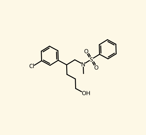 CN(CC(CCCO)c1cccc(Cl)c1)S(=O)(=O)c1ccccc1